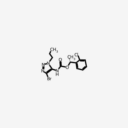 CCCn1nnc(Br)c1NC(=O)O[C@H](C)c1ccccc1Cl